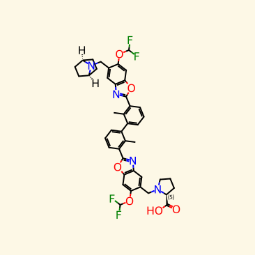 Cc1c(-c2nc3cc(CN4CCC[C@H]4C(=O)O)c(OC(F)F)cc3o2)cccc1-c1cccc(-c2nc3cc(CN4[C@H]5CC[C@@H]4CC5)c(OC(F)F)cc3o2)c1C